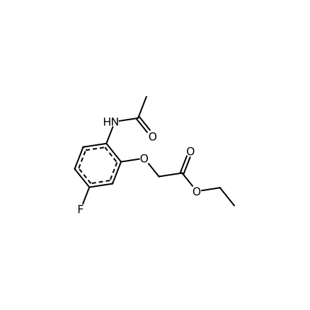 CCOC(=O)COc1cc(F)ccc1NC(C)=O